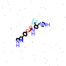 O=C(COc1ccc(-c2cnc3[nH]ccc3c2)cc1)Nc1ccc(CN2CCNCC2)c(C(F)(F)F)c1